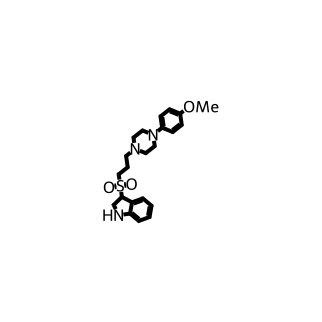 COc1ccc(N2CCN(CCCS(=O)(=O)C3CNc4ccccc43)CC2)cc1